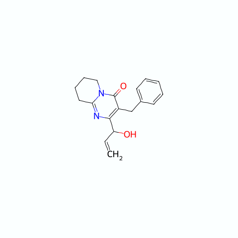 C=CC(O)c1nc2n(c(=O)c1Cc1ccccc1)CCCC2